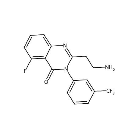 NCCc1nc2cccc(F)c2c(=O)n1-c1cccc(C(F)(F)F)c1